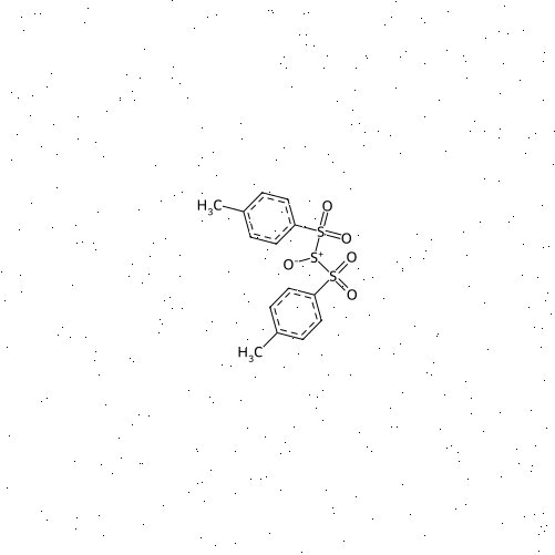 Cc1ccc(S(=O)(=O)[S+]([O-])S(=O)(=O)c2ccc(C)cc2)cc1